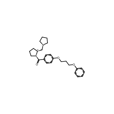 O=C(c1ccc(OCCCOc2ccccc2)cc1)N1CCC[C@H]1CN1CCCC1